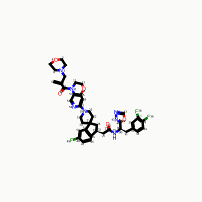 C=C(CN1CCOCC1)C(=O)N1CCOc2cc(N3CCC4(CC3)C[C@@H](CC(=O)N[C@H](Cc3ccc(F)c(F)c3)c3nnco3)c3ccc(F)cc34)ncc21